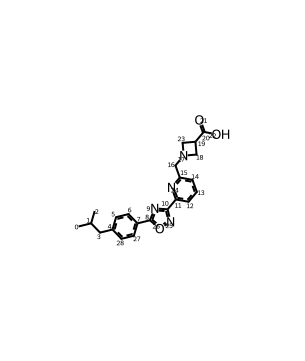 CC(C)Cc1ccc(-c2nc(-c3cccc(CN4CC(C(=O)O)C4)n3)no2)cc1